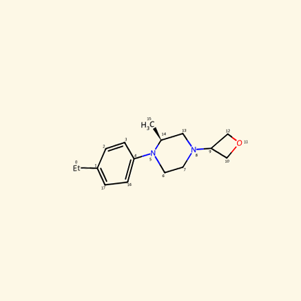 CCc1ccc(N2CCN(C3COC3)C[C@@H]2C)cc1